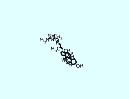 CC(/C=N/OC(C)N=C(N)N)=C\[C@H]1CC[C@]2(O)[C@@H]3CC[C@@H]4C[C@@H](O)CC[C@]4(C)[C@H]3CC[C@]12C